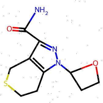 NC(=O)c1nn(C2CCO2)c2c1CSCC2